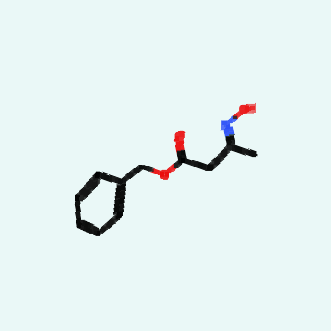 CC(CC(=O)OCc1ccccc1)=NO